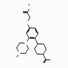 C=C(C)C1CCC(c2ccc(OCC(=O)NCC)cc2N2CCN(CCCC)CC2)CC1